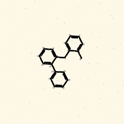 Cc1ccccc1Cc1ccccc1-c1ccccc1